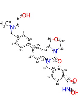 CN(CCO)Cc1ccc(-c2ccc(N(Cc3ccc(C(=O)NO)cc3)C(=O)N3CCOCC3)cc2)cc1